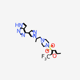 Cc1cc(S(=O)(=O)N2CCN(CC(C)n3cc(-c4ncnc5[nH]ccc45)cn3)CC2)c(C(F)(F)F)o1